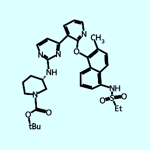 CCS(=O)(=O)Nc1cccc2c(Oc3ncccc3-c3ccnc(N[C@H]4CCCN(C(=O)OC(C)(C)C)C4)n3)c(C)ccc12